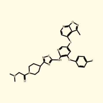 Cc1noc2nccc(Sc3cnc(Nc4nc(C5CCN(C(=O)CN(C)C)CC5)ns4)c(Oc4ccc(F)cc4)c3)c12